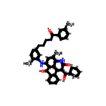 O=C(CCCCc1ccc(S(=O)(=O)O)c(Nc2cc(S(=O)(=O)O)c3[nH]c(=O)c(C(=O)c4ccccc4)c4c3c2C(=O)c2ccccc2-4)c1)c1cccc(S(=O)(=O)O)c1